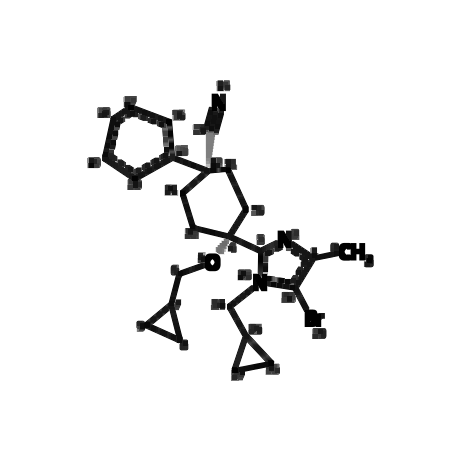 Cc1nc([C@]2(OCC3CC3)CC[C@](C#N)(c3ccccc3)CC2)n(CC2CC2)c1Br